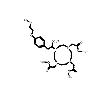 CCOCCOc1ccc(CC(C(=O)OCC)N2CCN(CC(=O)OC(C)(C)C)CCN(CC(=O)OC(C)(C)C)CCN(CC(=O)OC(C)(C)C)CC2)cc1